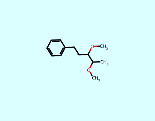 COC(C)C([CH]Cc1ccccc1)OC